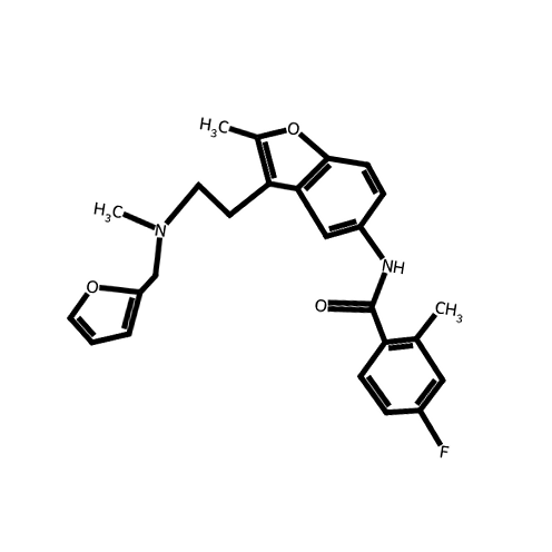 Cc1cc(F)ccc1C(=O)Nc1ccc2oc(C)c(CCN(C)Cc3ccco3)c2c1